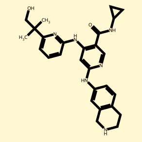 CC(C)(CO)c1cccc(Nc2cc(Nc3ccc4c(c3)CNCC4)ncc2C(=O)NC2CC2)n1